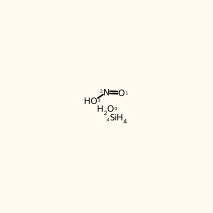 O.O=NO.[SiH4]